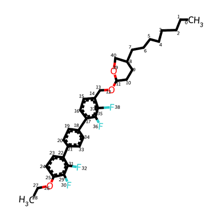 CCCCCCCCC1CCC(OCc2ccc(-c3ccc(-c4ccc(OCC)c(F)c4F)cc3)c(F)c2F)OC1